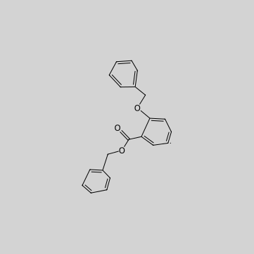 O=C(OCc1ccccc1)c1c[c]ccc1OCc1ccccc1